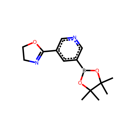 CC1(C)OB(c2cncc(C3=NCCO3)c2)OC1(C)C